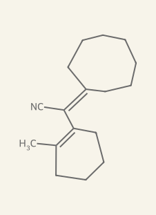 CC1=C(C(C#N)=C2CCCCCCC2)CCCC1